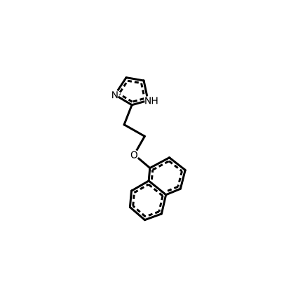 c1ccc2c(OCCc3ncc[nH]3)cccc2c1